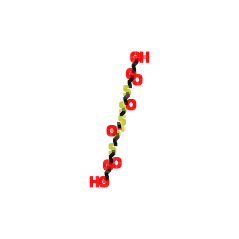 O=C(CCSCCC[S+]([O-])CCSCCSC(=O)CCSCCC(=O)OCCCO)OCCCO